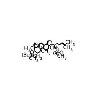 CC(C)=CCC[C@@H](COS(C)(=O)=O)[C@H]1CC=C2C3=C(CC[C@@]21C)[C@@]1(C)CC[C@H](O[Si](C)(C)C(C)(C)C)C(C)(C)[C@@H]1CC3